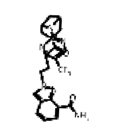 NC(=O)c1cccc2cn(CCCC(=O)N3CC4CC(C3)N4c3ncc(C(F)(F)F)cn3)nc12